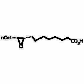 CCCCCCCC[C@H]1O[C@H]1CCCCCCCC(=O)O